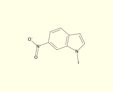 O=[N+]([O-])c1ccc2ccn(I)c2c1